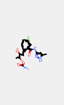 Cc1cc(NC(=O)c2cc(F)ccc2CC(=O)C(C)OC(N)=O)n[nH]1